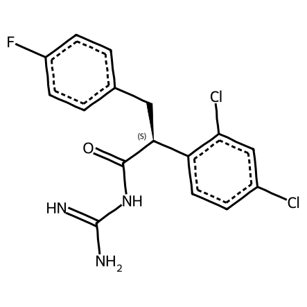 N=C(N)NC(=O)[C@@H](Cc1ccc(F)cc1)c1ccc(Cl)cc1Cl